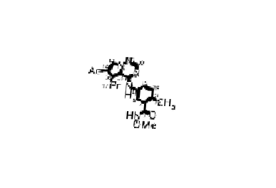 CONC(=O)c1cc(Nc2ncnn3cc(C(C)=O)c(C(C)C)c23)ccc1C